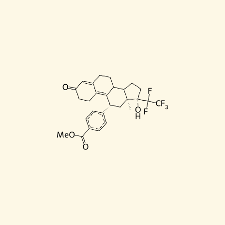 COC(=O)c1ccc([C@H]2C[C@@]3(C)C(CC[C@@]3(O)C(F)(F)C(F)(F)F)C3CCC4=CC(=O)CCC4=C32)cc1